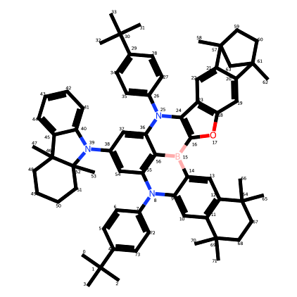 CC(C)(C)c1ccc(N2c3cc4c(cc3B3c5oc6cc7c(cc6c5N(c5ccc(C(C)(C)C)cc5)c5cc(N6c8ccccc8C8(C)CCCCC68C)cc2c53)C2(C)CCC7(C)C2)C(C)(C)CCC4(C)C)cc1